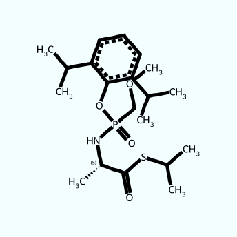 COCP(=O)(N[C@@H](C)C(=O)SC(C)C)Oc1c(C(C)C)cccc1C(C)C